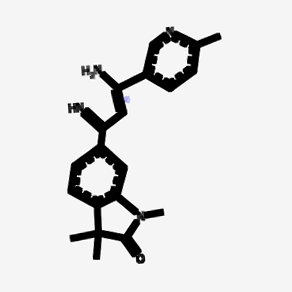 Cc1ccc(/C(N)=C/C(=N)c2ccc3c(c2)N(C)C(=O)C3(C)C)cn1